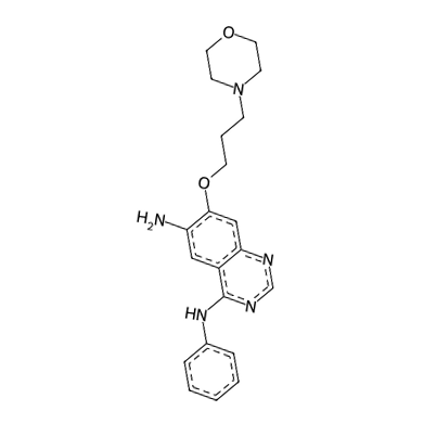 Nc1cc2c(Nc3ccccc3)ncnc2cc1OCCCN1CCOCC1